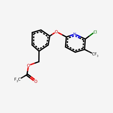 O=C(OCc1cccc(Oc2ccc(C(F)(F)F)c(Cl)n2)c1)C(F)(F)F